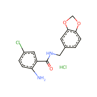 Cl.Nc1ccc(Cl)cc1C(=O)NCc1ccc2c(c1)OCO2